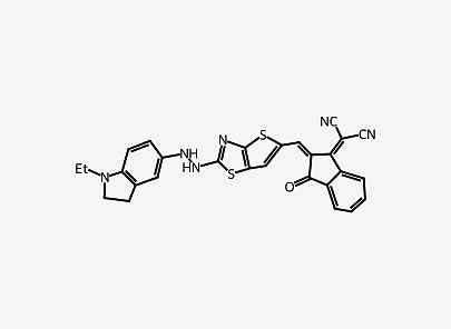 CCN1CCc2cc(NNc3nc4sc(/C=C5\C(=O)c6ccccc6C5=C(C#N)C#N)cc4s3)ccc21